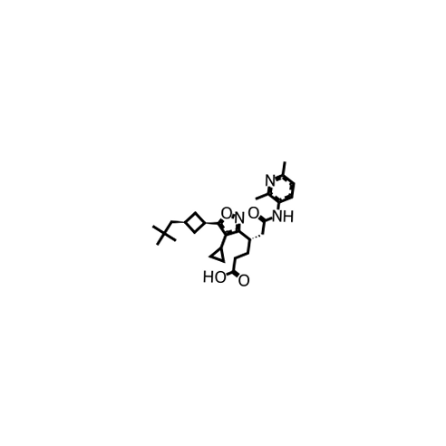 Cc1ccc(NC(=O)C[C@H](CCC(=O)O)c2noc([C@H]3C[C@@H](CC(C)(C)C)C3)c2C2CC2)c(C)n1